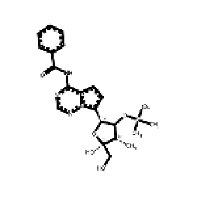 C[C@H]1C(O[Si](C)(C)C(C)(C)C)[C@H](c2ccc3c(NC(=O)c4ccccc4)ncnn23)O[C@]1(O)CO